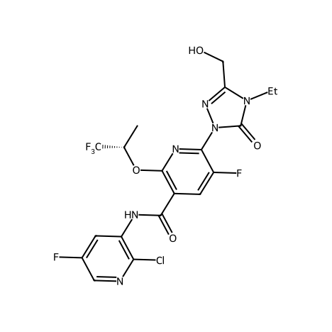 CCn1c(CO)nn(-c2nc(O[C@@H](C)C(F)(F)F)c(C(=O)Nc3cc(F)cnc3Cl)cc2F)c1=O